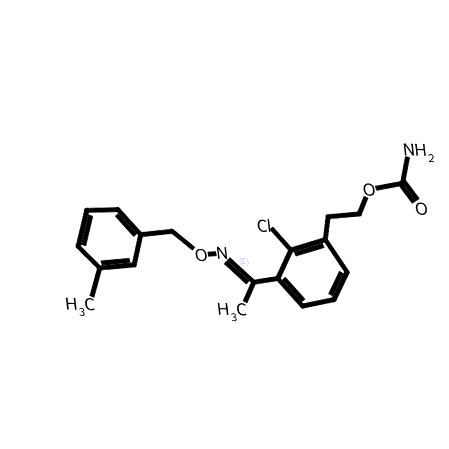 C/C(=N\OCc1cccc(C)c1)c1cccc(CCOC(N)=O)c1Cl